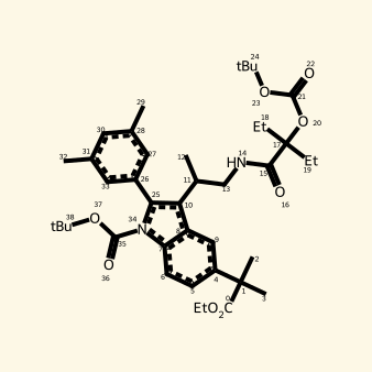 CCOC(=O)C(C)(C)c1ccc2c(c1)c(C(C)CNC(=O)C(CC)(CC)OC(=O)OC(C)(C)C)c(-c1cc(C)cc(C)c1)n2C(=O)OC(C)(C)C